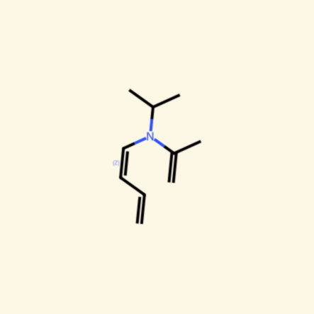 C=C/C=C\N(C(=C)C)C(C)C